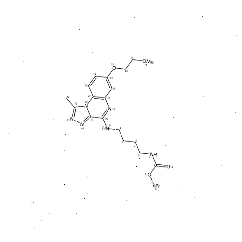 CCCOC(=O)NCCCCNc1nc2cc(OCCOC)ccc2n2c(C)nnc12